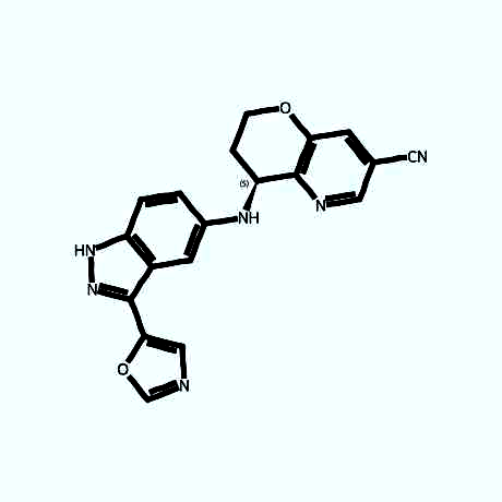 N#Cc1cnc2c(c1)OCC[C@@H]2Nc1ccc2[nH]nc(-c3cnco3)c2c1